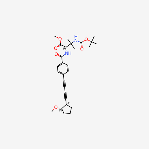 COC(=O)[C@@H](NC(=O)c1ccc(C#CC#C[C@H]2CCC[C@@H]2OC)cc1)C(C)(C)NC(=O)OC(C)(C)C